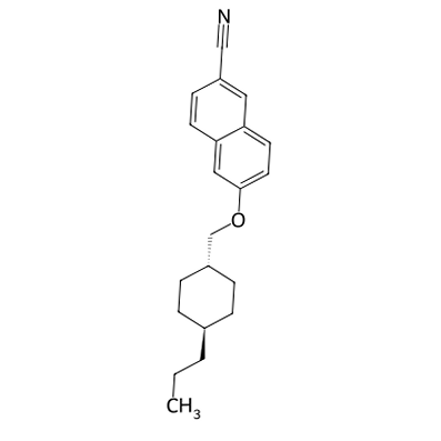 CCC[C@H]1CC[C@H](COc2ccc3cc(C#N)ccc3c2)CC1